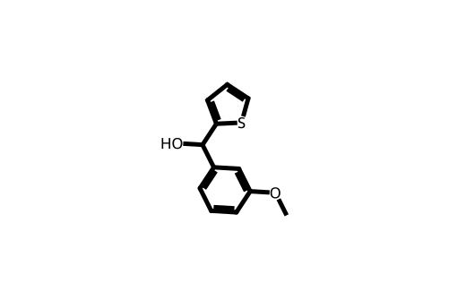 COc1cccc(C(O)c2cccs2)c1